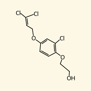 OCCOc1ccc(OCC=C(Cl)Cl)cc1Cl